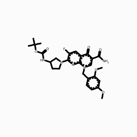 COc1ccc(Cn2cc(C(N)=O)c(=O)c3cc(F)c(N4CCC(NC(=O)OC(C)(C)C)C4)nc32)c(OC)c1